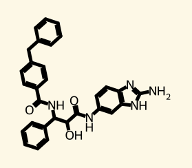 Nc1nc2ccc(NC(=O)C(O)C(NC(=O)c3ccc(Cc4ccccc4)cc3)c3ccccc3)cc2[nH]1